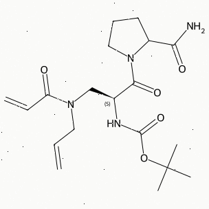 C=CCN(C[C@H](NC(=O)OC(C)(C)C)C(=O)N1CCCC1C(N)=O)C(=O)C=C